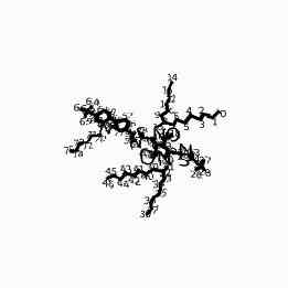 CCCCCCCCC(CCCCCC)CN1C(=O)C2=C(c3ncc(C(C)(C)C)s3)N(CC(CCCCCC)CCCCCCCC)C(=O)C2=C1c1ncc(-c2ccc3c4ccc(C(C)(C)C)cc4n(CCCCCC)c3c2)s1